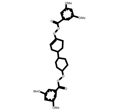 COc1cc(OC)cc(C(=O)OOC2=CCC(C3CCC(OOC(=O)c4cc(OC)cc(OC)c4)CC3)CC2)c1